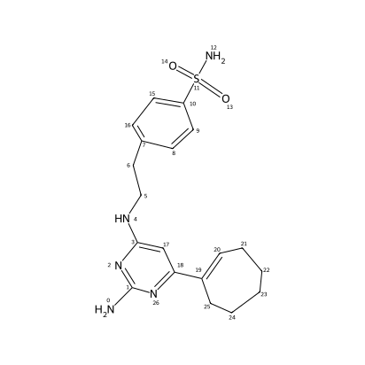 Nc1nc(NCCc2ccc(S(N)(=O)=O)cc2)cc(C2=CCCCCC2)n1